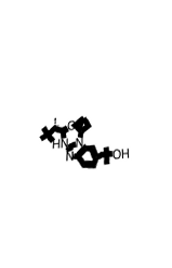 C[C@H](C(=O)Nc1nc2ccc(C(C)(C)O)cc2n1C12CC(C1)C2)C(C)(C)C